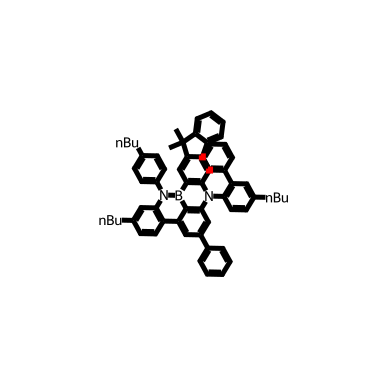 CCCCc1ccc(N2B3c4cc5c(cc4N(c4ccc(CCCC)cc4-c4ccccc4)c4cc(-c6ccccc6)cc(c43)-c3ccc(CCCC)cc32)-c2ccccc2C5(C)C)cc1